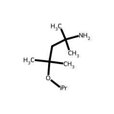 CC(C)OC(C)(C)CC(C)(C)N